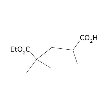 CCOC(=O)C(C)(C)CC(C)C(=O)O